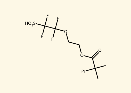 CC(C)C(C)(C)C(=O)OCCOC(F)(F)C(F)(F)S(=O)(=O)O